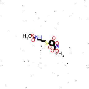 COC(=O)NCCCCSC1=CC(=O)c2onc(C(=O)OC)c2C1=O